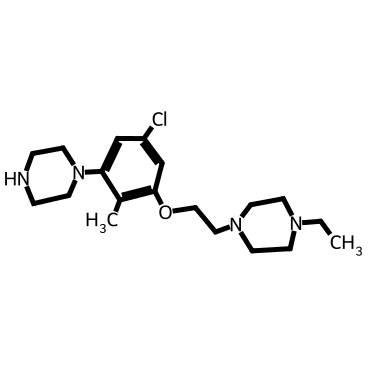 CCN1CCN(CCOc2cc(Cl)cc(N3CCNCC3)c2C)CC1